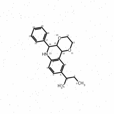 CCC(C)c1ccc2c(c1)C1OCCOC1C(c1ccccc1)N2